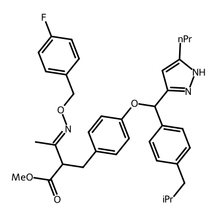 CCCc1cc(C(Oc2ccc(CC(C(=O)OC)C(C)=NOCc3ccc(F)cc3)cc2)c2ccc(CC(C)C)cc2)n[nH]1